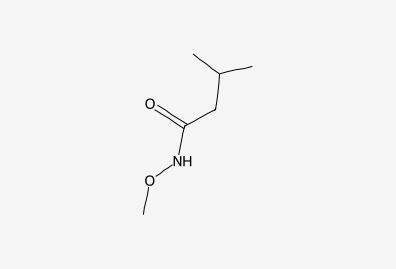 CONC(=O)CC(C)C